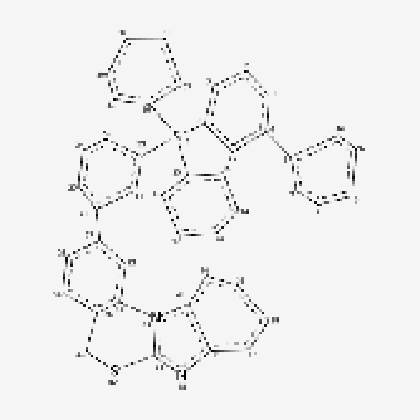 c1ccc(-c2cccc([Si](c3ccccc3)(c3ccccc3)c3cccc(-c4ccc5c(c4)-n4c(nc6ccccc64)SC5)c3)c2)cc1